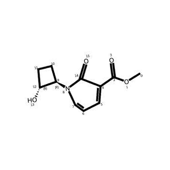 COC(=O)c1cccn([C@@H]2CC[C@H]2O)c1=O